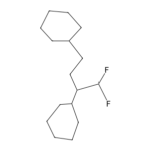 F[C](F)C(CCC1CCCCC1)C1CCCCC1